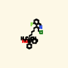 CC(C)(CCCCCc1c(CCl)ncc2cccc(F)c12)[Si](O)(c1ccccc1)c1ccccc1